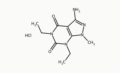 CCn1c(=O)c2c(N)nn(C)c2n(CC)c1=O.Cl